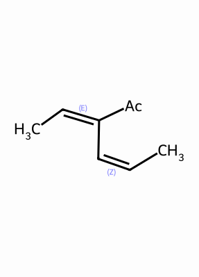 C/C=C\C(=C/C)C(C)=O